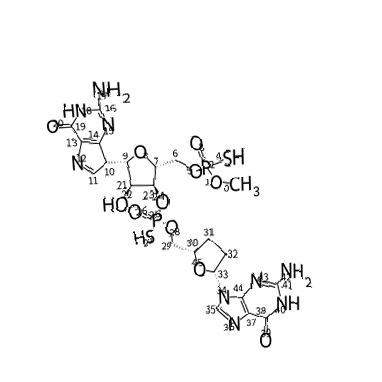 COP(=O)(S)OC[C@H]1O[C@@H](C2C=Nc3c2nc(N)[nH]c3=O)[C@H](O)[C@@H]1OP(=O)(S)OC[C@@H]1CC[C@H](n2cnc3c(=O)[nH]c(N)nc32)O1